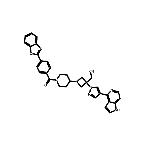 N#CCC1(n2cc(-c3ncnc4[nH]ccc34)cn2)CN(C2CCN(C(=O)c3ccc(-c4nc5ccccc5o4)cc3)CC2)C1